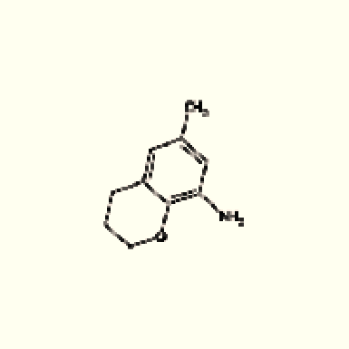 Cc1cc(N)c2c(c1)CCCO2